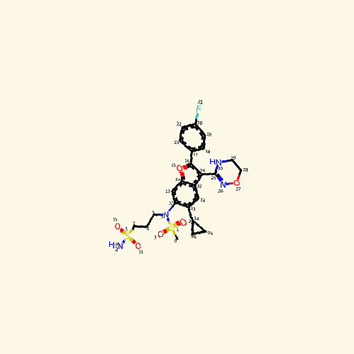 CS(=O)(=O)N(CCCS(N)(=O)=O)c1cc2oc(-c3ccc(F)cc3)c(C3=NOCCN3)c2cc1C1CC1